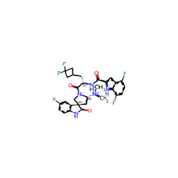 C=[N+](C)[C@@H]1C[C@@]2(CN1C(=O)[C@H](CC1CC(F)(F)C1)NC(=O)c1cc3c(F)ccc(F)c3[nH]1)C(=O)Nc1ccc(F)cc12